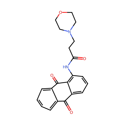 O=C(CCN1CCOCC1)Nc1cccc2c1C(=O)c1ccccc1C2=O